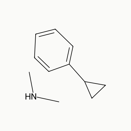 CNC.c1ccc(C2CC2)cc1